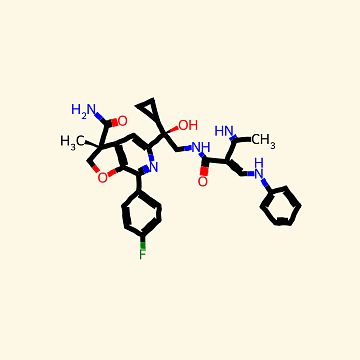 CC(=N)/C(=C\Nc1ccccc1)C(=O)NC[C@](O)(c1cc2c(c(-c3ccc(F)cc3)n1)OC[C@]2(C)C(N)=O)C1CC1